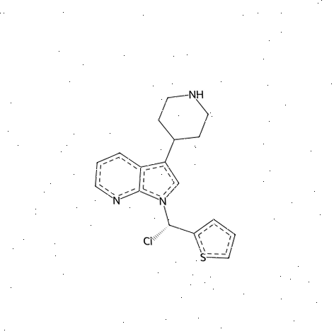 Cl[C@@H](c1cccs1)n1cc(C2CCNCC2)c2cccnc21